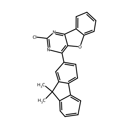 CC1(C)c2ccccc2-c2ccc(-c3nc(Cl)nc4c3oc3ccccc34)cc21